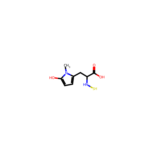 Cn1c(O)ccc1CC(NS)C(=O)O